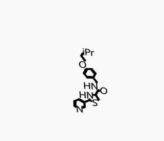 CC(C)CCOc1ccc(CNC(=O)C2CSC(c3cccnc3)N2)cc1